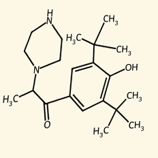 CC(C(=O)c1cc(C(C)(C)C)c(O)c(C(C)(C)C)c1)N1CCNCC1